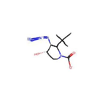 CC(C)(C)C1[C@H](N=[N+]=N)[C@@H](O)CN1C(=O)[O-]